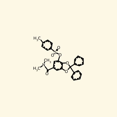 Cc1ccc(S(=O)(=O)Oc2cc(C(=O)N(C)C)cc3c2OC(c2ccccc2)(c2ccccc2)O3)cc1